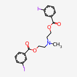 CN(CCOC(=O)c1cccc(I)c1)CCOC(=O)c1cccc(I)c1